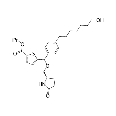 CC(C)OC(=O)c1ccc(C(OC[C@H]2CCC(=O)N2)c2ccc(CCCCCCCO)cc2)s1